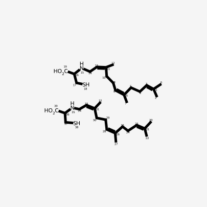 CC(C)=CCCC(C)=CCCC(C)=CCNC(CS)C(=O)O.CC(C)=CCCC(C)=CCCC(C)=CCNC(CS)C(=O)O